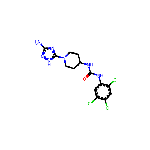 Nc1n[nH]c(N2CCC(NC(=O)Nc3cc(Cl)c(Cl)cc3Cl)CC2)n1